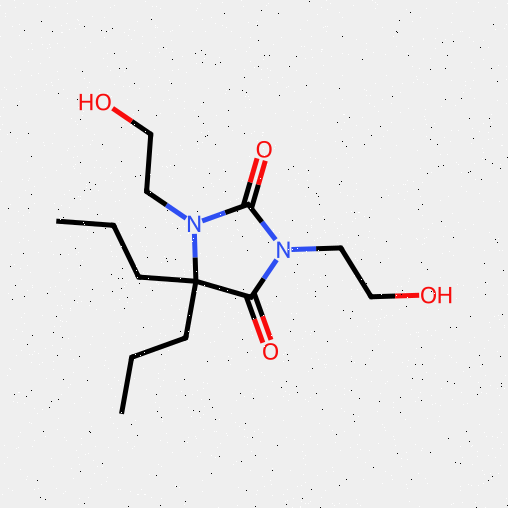 CCCC1(CCC)C(=O)N(CCO)C(=O)N1CCO